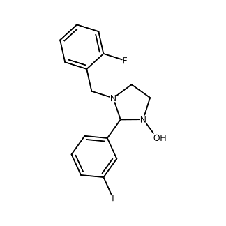 ON1CCN(Cc2ccccc2F)C1c1cccc(I)c1